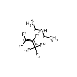 CCNCC.FC(F)=C(F)C(F)(F)F